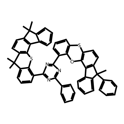 CC1(C)c2cccc(-c3nc(-c4ccccc4)nc(-c4cccc5c4Oc4c(ccc6c4-c4ccccc4C6(C)c4ccccc4)S5)n3)c2Sc2c1ccc1c2-c2ccccc2C1(C)C